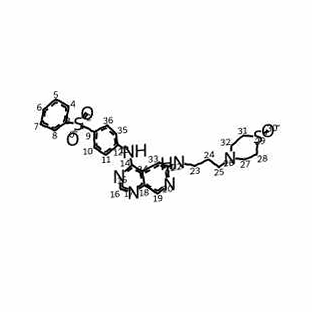 O=S(=O)(c1ccccc1)c1ccc(Nc2ncnc3cnc(NCCCN4CC[S+]([O-])CC4)cc23)cc1